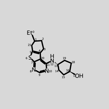 CCC1CCc2c(sc3ncnc(N[C@H]4CC[C@H](O)CC4)c23)C1